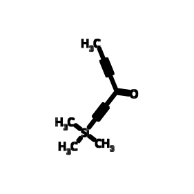 CC#CC(=O)C#C[Si](C)(C)C